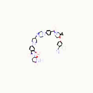 N#Cc1ccc(OC2CCN(C(=O)c3ccc(N4CCN(CC5CCN(c6ccc7c(c6)C(=O)N(C6CCC(=O)NC6=O)C7=O)CC5)CC4)cc3)CC23CC3)cc1Cl